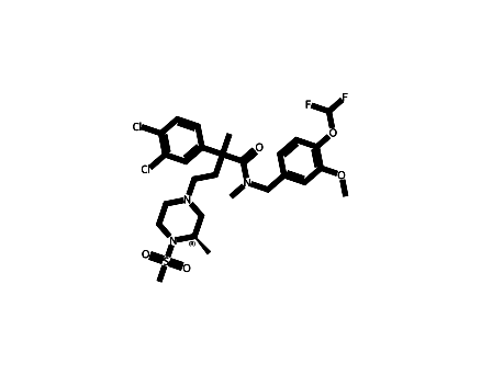 COc1cc(CN(C)C(=O)C(C)(CCN2CCN(S(C)(=O)=O)[C@H](C)C2)c2ccc(Cl)c(Cl)c2)ccc1OC(F)F